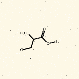 CCOC(=O)C(CCl)C(=O)O